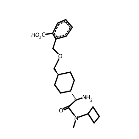 CN(C(=O)C(N)[C@H]1CC[C@H](COCc2ccccc2C(=O)O)CC1)C1CCC1